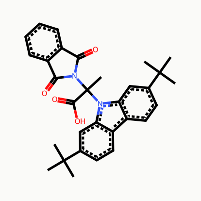 CC(C)(C)c1ccc2c3ccc(C(C)(C)C)cc3n(C(C)(C(=O)O)N3C(=O)c4ccccc4C3=O)c2c1